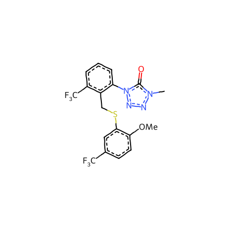 COc1ccc(C(F)(F)F)cc1SCc1c(-n2nnn(C)c2=O)cccc1C(F)(F)F